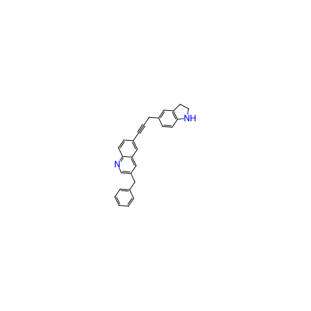 C(#Cc1ccc2ncc(Cc3ccccc3)cc2c1)Cc1ccc2c(c1)CCN2